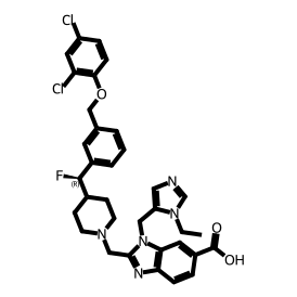 CCn1cncc1Cn1c(CN2CCC([C@@H](F)c3cccc(COc4ccc(Cl)cc4Cl)c3)CC2)nc2ccc(C(=O)O)cc21